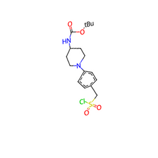 CC(C)(C)OC(=O)NC1CCN(c2ccc(CS(=O)(=O)Cl)cc2)CC1